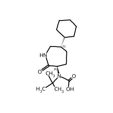 CC(C)(C)N(C(=O)O)[C@@H]1CC[C@@H](C2CCCCC2)CNC1=O